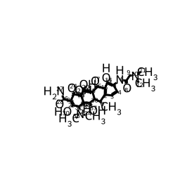 CC1c2ccc(NC(=O)CN(C)C)c(O)c2C(=O)C2=C(O)[C@]3(O)C(=O)C(C(N)=O)=C(O)C(N(C)C)[C@@H]3C(O)C21